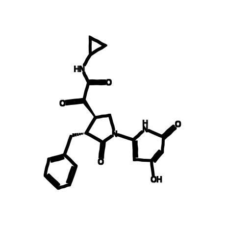 O=C(NC1CC1)C(=O)[C@H]1CN(c2cc(O)cc(=O)[nH]2)C(=O)[C@@H]1Cc1ccccc1